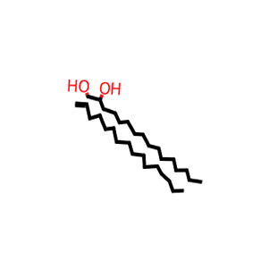 C=CCCCCCCCCCCCCCC.CCCCCCCCCCCCCCC(O)CO